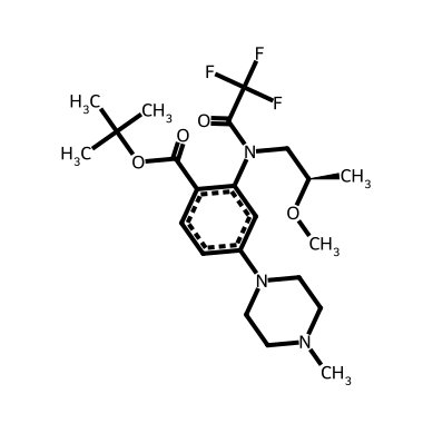 CO[C@H](C)CN(C(=O)C(F)(F)F)c1cc(N2CCN(C)CC2)ccc1C(=O)OC(C)(C)C